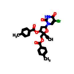 C#CC1(COC(=O)c2ccc(C)cc2)OC(n2cc(Br)c(=O)[nH]c2=O)CC1OC(=O)c1ccc(C)cc1